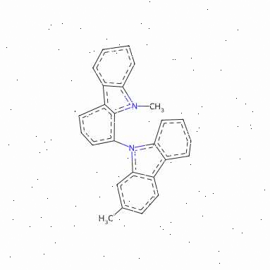 Cc1ccc2c3ccccc3n(-c3cccc4c5ccccc5n(C)c34)c2c1